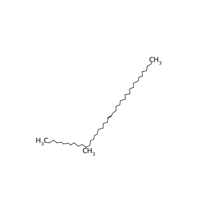 CCCCCCCCCCCCCCCCCCCC=CCCCCCCCCCC(C)CCCCCCCCCCC